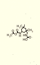 CC(=O)OC(=O)NC1CC(C)(I)CC(C)(CNC(=O)O)C1